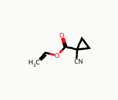 C=COC(=O)C1(C#N)CC1